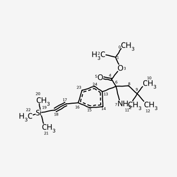 CC(C)OC(=O)C(N)(CC(C)(C)C)c1ccc(C#C[Si](C)(C)C)cc1